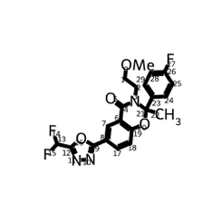 COCCN1C(=O)c2cc(-c3nnc(C(F)F)o3)ccc2OC1(C)c1ccc(F)cc1